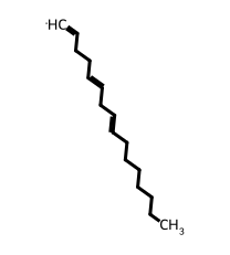 [CH]=CCCC=CCC=CCCCCCCC